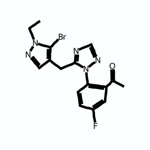 CCn1ncc(Cc2ncnn2-c2ccc(F)cc2C(C)=O)c1Br